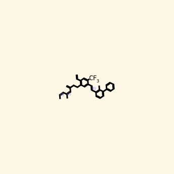 C=Cc1cc(C(F)(F)F)c(/C=C/c2cccc(-c3ccccc3)c2C)cc1CCC(=C)/C=C(C)\C=C/C